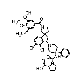 COc1cc(C(=O)N2CCC(CCN3CCC(NC(=O)N4CCCC4C(=O)O)(c4ccccc4)CC3)(c3ccc(Cl)c(Cl)c3)C2)cc(OC)c1OC